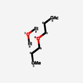 CCOCC.COCCOCCOC(C)=O